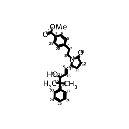 COC(=O)c1ccc(CCN2C(=O)CC[C@@H]2C=CC(O)C(C)(C)c2ccccc2)cc1